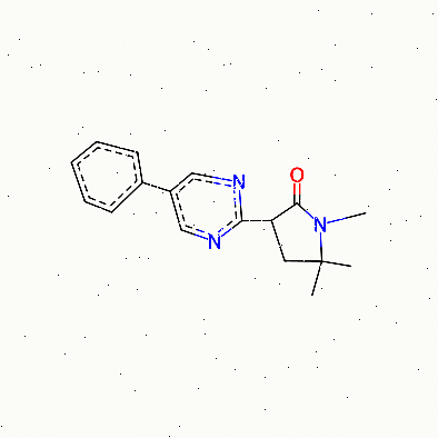 CN1C(=O)C(c2ncc(-c3ccccc3)cn2)CC1(C)C